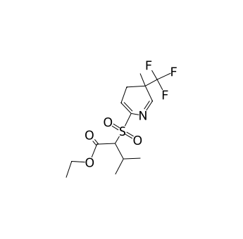 CCOC(=O)C(C(C)C)S(=O)(=O)C1=CCC(C)(C(F)(F)F)C=N1